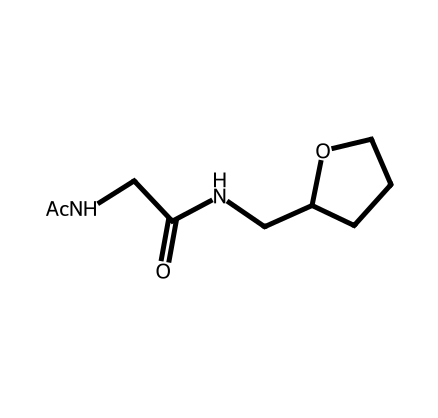 CC(=O)NCC(=O)NCC1CCCO1